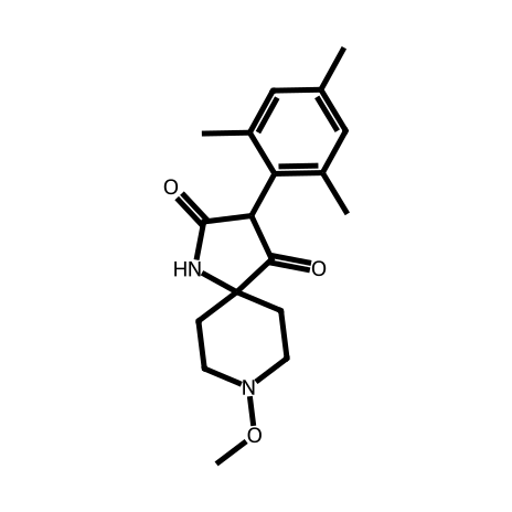 CON1CCC2(CC1)NC(=O)C(c1c(C)cc(C)cc1C)C2=O